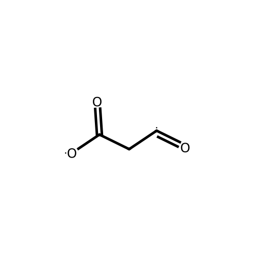 [O]C(=O)C[C]=O